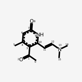 CC(=O)c1c(C)cc(=O)[nH]c1C=CN(C)C